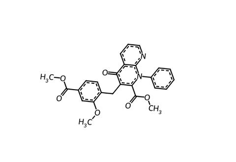 COC(=O)c1ccc(Cc2c(C(=O)OC)n(-c3ccccc3)c3ncccc3c2=O)c(OC)c1